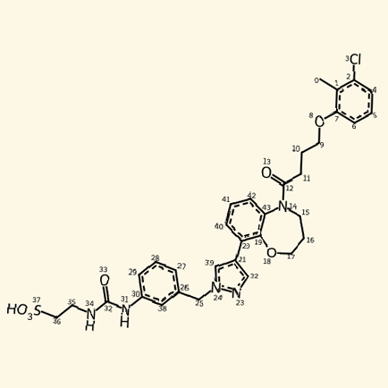 Cc1c(Cl)cccc1OCCCC(=O)N1CCCOc2c(-c3cnn(Cc4cccc(NC(=O)NCCS(=O)(=O)O)c4)c3)cccc21